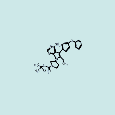 CCc1c(-c2ccc(Oc3ccccc3)cc2)c2c(N)ncnc2n1C1CCN(C(=O)OC(C)(C)C)C1